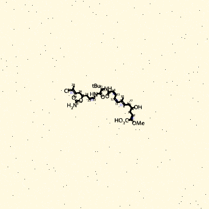 CO/C(=C/C[C@H](O)[C@@H](C)/C=C(C)/C=C\C=C/C(=O)N[C@H](C(=O)N/C=C\C[C@H](C/C=C(\C)Cl)OC(N)=O)C(C)(C)C)C(=O)O